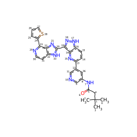 CC(C)(C)CC(=O)Nc1cncc(-c2ccc3[nH]nc(-c4nc5c(-c6cccs6)nccc5[nH]4)c3n2)c1